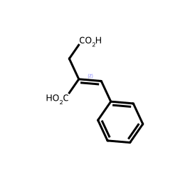 O=C(O)C/C(=C/c1ccccc1)C(=O)O